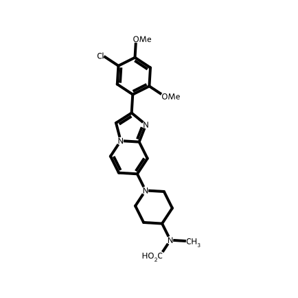 COc1cc(OC)c(-c2cn3ccc(N4CCC(N(C)C(=O)O)CC4)cc3n2)cc1Cl